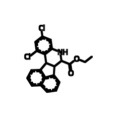 CCOC(=O)C1Nc2cc(Cl)cc(Cl)c2C2c3cccc4cccc(c34)C12